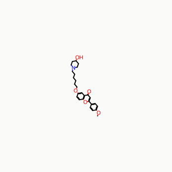 COc1ccc(-c2cc(=O)c3cc(OCCCCCCN4CCC(O)CC4)ccc3o2)cc1